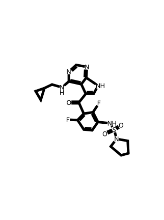 O=C(c1c(F)ccc(NS(=O)(=O)N2CCCC2)c1F)c1c[nH]c2ncnc(NCC3CC3)c12